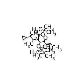 C=C(C1CC1)C(C)N(C(=O)OC(C)(C)C)[C@@H](O[Si](C)(C)C(C)(C)C)C(=O)C=CC